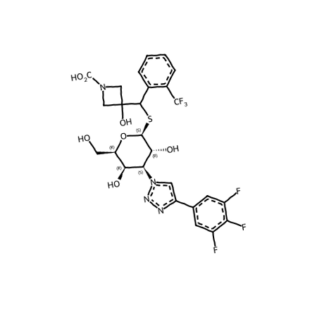 O=C(O)N1CC(O)(C(S[C@@H]2O[C@H](CO)[C@H](O)[C@H](n3cc(-c4cc(F)c(F)c(F)c4)nn3)[C@H]2O)c2ccccc2C(F)(F)F)C1